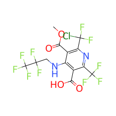 COC(=O)c1c(C(F)(F)Cl)nc(C(F)(F)F)c(C(=O)O)c1NCC(F)(F)C(F)(F)F